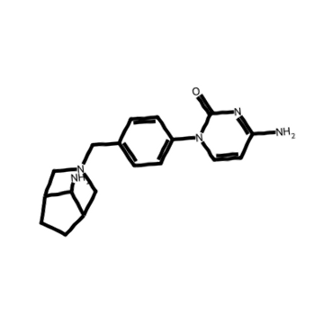 Nc1ccn(-c2ccc(CN3CC4CCC(C3)C4N)cc2)c(=O)n1